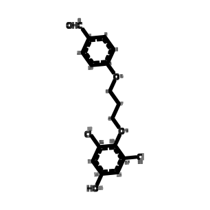 O=Cc1ccc(OCCCOc2c(Cl)cc(O)cc2Cl)cc1